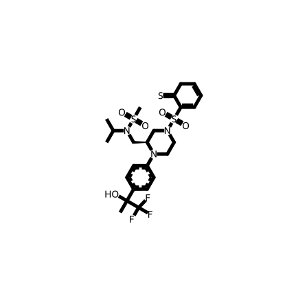 CC(C)N(C[C@H]1CN(S(=O)(=O)C2=CC=CCC2=S)CCN1c1ccc(C(C)(O)C(F)(F)F)cc1)S(C)(=O)=O